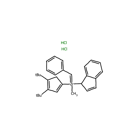 CC(C)(C)C1=C(C(C)(C)C)C[C]([Zr]([CH3])(=[CH]c2ccccc2)[CH]2C=Cc3ccccc32)=C1.Cl.Cl